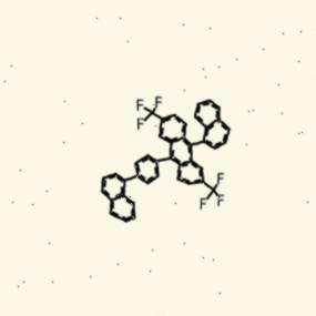 FC(F)(F)c1ccc2c(-c3cccc4ccccc34)c3cc(C(F)(F)F)ccc3c(-c3ccc(-c4cccc5ccccc45)cc3)c2c1